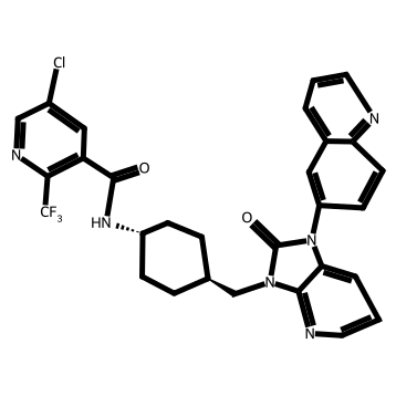 O=C(N[C@H]1CC[C@H](Cn2c(=O)n(-c3ccc4ncccc4c3)c3cccnc32)CC1)c1cc(Cl)cnc1C(F)(F)F